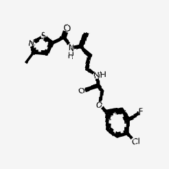 C=C(CCNC(=O)COc1ccc(Cl)c(F)c1)NC(=O)c1cc(C)ns1